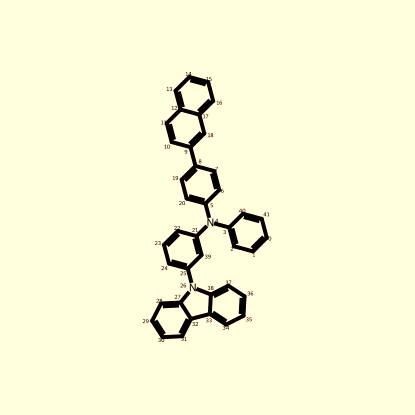 c1ccc(N(c2ccc(-c3ccc4ccccc4c3)cc2)c2cccc(-n3c4ccccc4c4ccccc43)c2)cc1